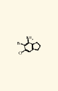 Nc1c(Br)c(Cl)cc2c1CCC2